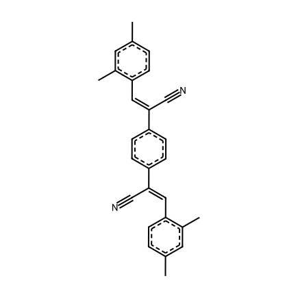 Cc1ccc(/C=C(\C#N)c2ccc(/C(C#N)=C/c3ccc(C)cc3C)cc2)c(C)c1